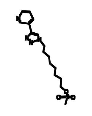 CS(=O)(=O)OCCCCCCCCn1cc(-c2cccnc2)nn1